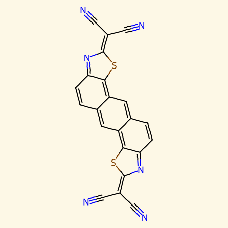 N#CC(C#N)=c1nc2ccc3cc4c(ccc5nc(=C(C#N)C#N)sc54)cc3c2s1